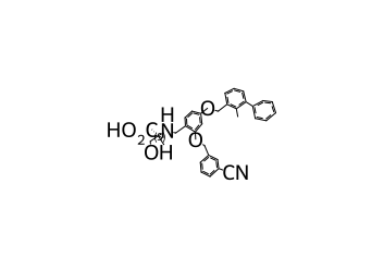 Cc1c(COc2ccc(CN[C@@](C)(CO)C(=O)O)c(OCc3cccc(C#N)c3)c2)cccc1-c1ccccc1